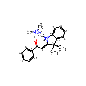 CCNCC.CN1C(=CC(=O)c2ccccc2)C(C)(C)c2ccccc21